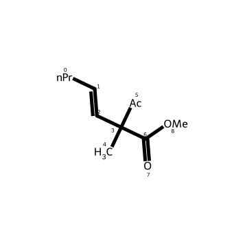 CCCC=CC(C)(C(C)=O)C(=O)OC